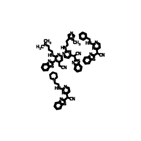 CN(C)CCCNC1=NC=CC(CC#N)N1c1nc2ccccc2s1.Cn1cncc1CCNc1nccc(C(C#N)c2nc3ccccc3s2)n1.N#CC(c1ccnc(NCCN2CCCCC2)n1)c1nc2ccccc2s1.N#CC(c1ccnc(NCc2ccccc2)n1)c1nc2ccccc2s1